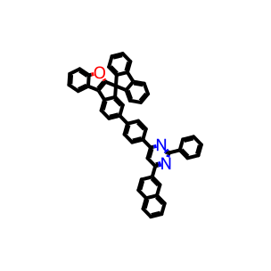 c1ccc(-c2nc(-c3ccc(-c4ccc5c(c4)C4(c6ccccc6-c6ccccc64)c4oc6ccccc6c4-5)cc3)cc(-c3ccc4ccccc4c3)n2)cc1